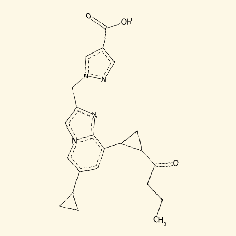 CCCC(=O)C1CC1c1cc(C2CC2)cn2cc(Cn3cc(C(=O)O)cn3)nc12